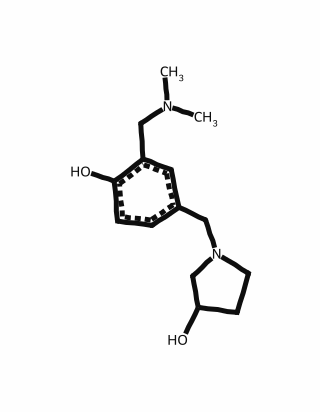 CN(C)Cc1cc(CN2CCC(O)C2)ccc1O